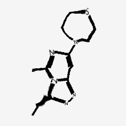 CCc1nnc2cc(N3CCSCC3)nc(C)n12